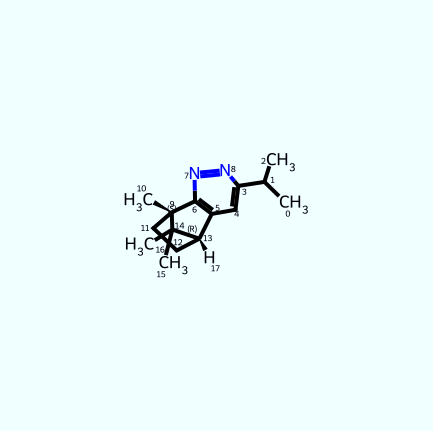 CC(C)c1cc2c(nn1)[C@@]1(C)CC[C@@H]2C1(C)C